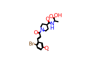 COc1ccc(Br)c(C=CC(=O)N2CCC(C(=O)NC(C)C(=O)O)CC2)c1